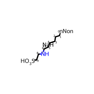 CCCCCCCCCCCCCCCNCCS(=O)(=O)O.[NaH]